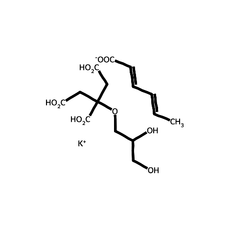 CC=CC=CC(=O)[O-].O=C(O)CC(CC(=O)O)(OCC(O)CO)C(=O)O.[K+]